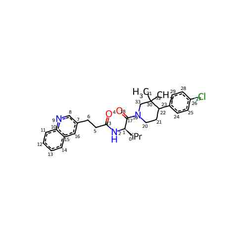 CC(C)[C@@H](NC(=O)CCc1cnc2ccccc2c1)C(=O)N1CCC(c2ccc(Cl)cc2)C(C)(C)C1